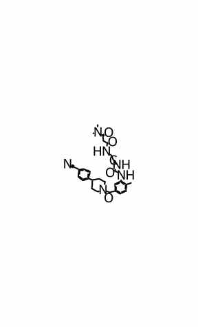 Cc1ccc(C(=O)N2CCC(c3ccc(C#N)cc3)CC2)cc1NC(=O)NCCNC(=O)CC(=O)N(C)C